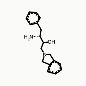 N[C@H](Cc1ccccc1)[C@@H](O)CN1Cc2ccccc2C1